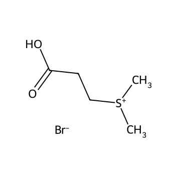 C[S+](C)CCC(=O)O.[Br-]